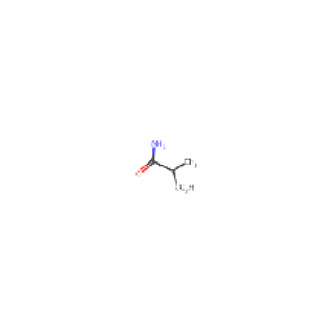 C[C](C(N)=O)C(=O)O